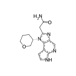 NC(=O)Cc1nc2cnc3[nH]ccc3c2n1[C@H]1CCCOC1